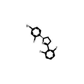 Fc1cc(Br)ccc1[C@H]1CCC(c2c(F)cccc2F)=N1